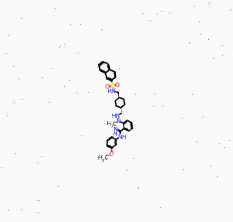 COc1cccc(NC(=N)c2ccccc2N(C)NC[C@H]2CC[C@H](CNS(=O)(=O)c3ccc4ccccc4c3)CC2)c1